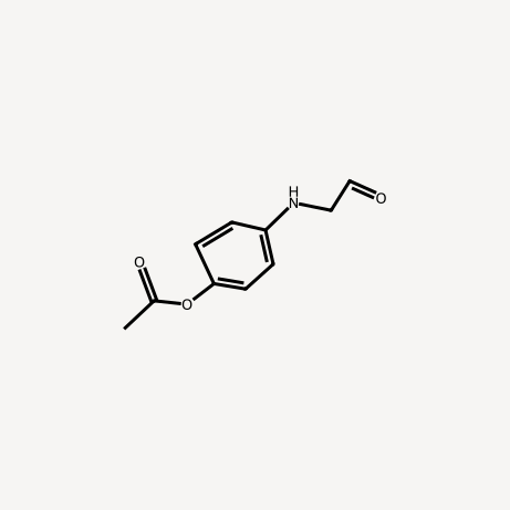 CC(=O)Oc1ccc(NCC=O)cc1